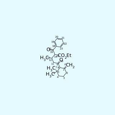 C=C1CCCC(C)(C)C1C(=O)CC(C)C(C(=O)OCC)C(=O)c1ccccc1